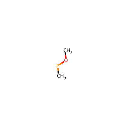 CO[P]C